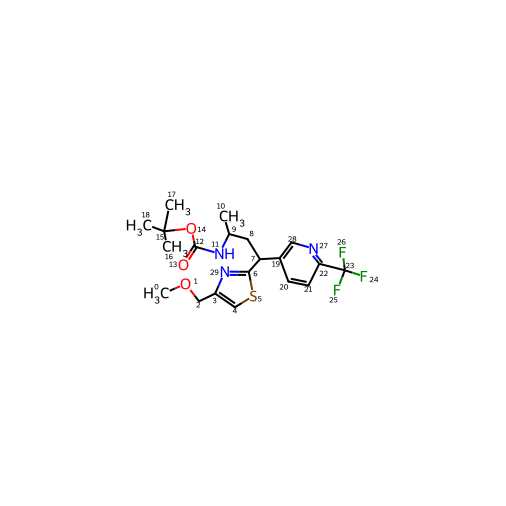 COCc1csc(C(CC(C)NC(=O)OC(C)(C)C)c2ccc(C(F)(F)F)nc2)n1